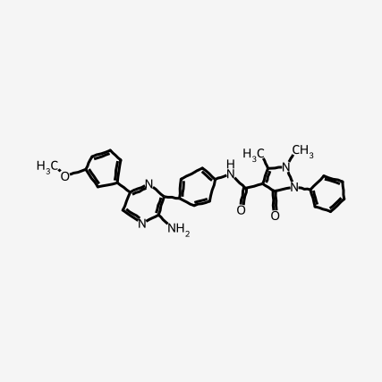 COc1cccc(-c2cnc(N)c(-c3ccc(NC(=O)c4c(C)n(C)n(-c5ccccc5)c4=O)cc3)n2)c1